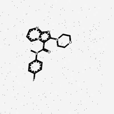 CN(C(=O)c1c(N2CCOCC2)nc2ncccn12)c1ccc(F)cc1